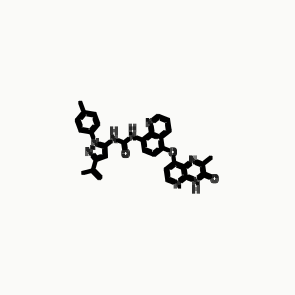 C=C(C)c1cc(NC(=O)Nc2ccc(Oc3ccnc4[nH]c(=O)c(C)nc34)c3cccnc23)n(-c2ccc(C)cc2)n1